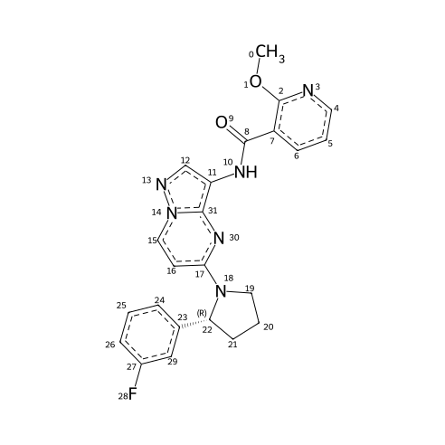 COc1ncccc1C(=O)Nc1cnn2ccc(N3CCC[C@@H]3c3cccc(F)c3)nc12